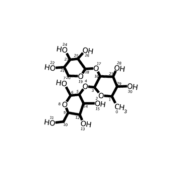 CC1OC(OC2C(O)OC(CO)C(O)C2O)C(OC2OCC(O)C(O)C2O)C(O)C1O